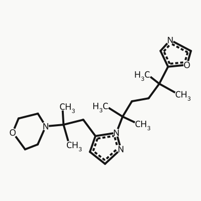 CC(C)(CCC(C)(C)n1nccc1CC(C)(C)N1CCOCC1)c1cnco1